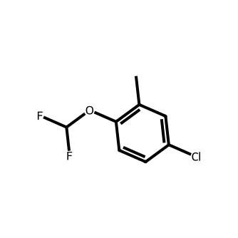 Cc1cc(Cl)ccc1OC(F)F